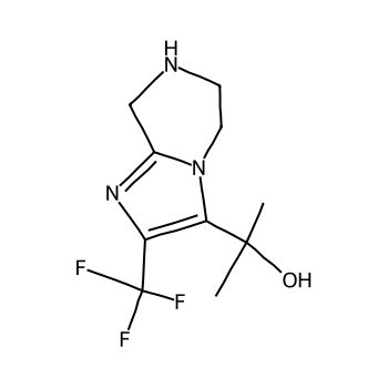 CC(C)(O)c1c(C(F)(F)F)nc2n1CCNC2